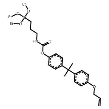 C=CCOc1ccc(C(C)(C)c2ccc(OC(=O)NCCC[Si](OCC)(OCC)OCC)cc2)cc1